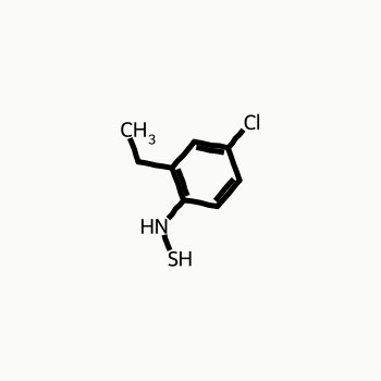 CCc1cc(Cl)ccc1NS